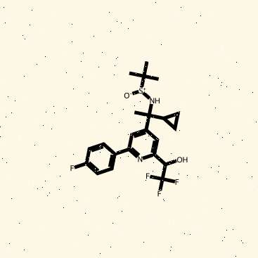 CC(N[S+]([O-])C(C)(C)C)(c1cc(-c2ccc(F)cc2)nc(C(O)C(F)(F)F)c1)C1CC1